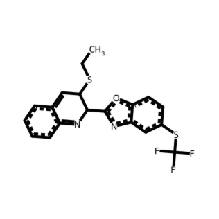 CCSC1C=c2ccccc2=NC1c1nc2cc(SC(F)(F)F)ccc2o1